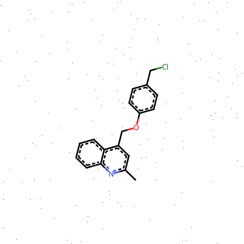 Cc1cc(COc2ccc(CCl)cc2)c2ccccc2n1